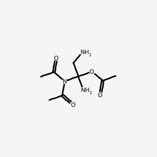 CC(=O)OC(N)(CN)N(C(C)=O)C(C)=O